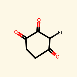 CCC1C(=O)CCC(=O)C1=O